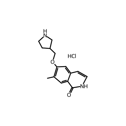 Cc1cc2c(=O)[nH]ccc2cc1OCC1CCNC1.Cl